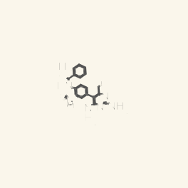 CCc1nc(N)nc(N)c1-c1ccc(NC(C)c2ccccc2)c([N+](=O)[O-])c1